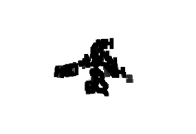 CCN(CC)Cc1c(-c2cc3cc(C)cc(OC)c3s2)c2c(N)ncnn2c1CN1CCNCC1.Cl.Cl.Cl